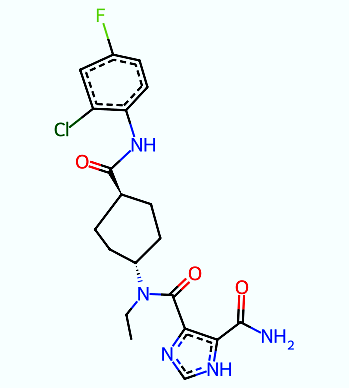 CCN(C(=O)c1nc[nH]c1C(N)=O)[C@H]1CC[C@H](C(=O)Nc2ccc(F)cc2Cl)CC1